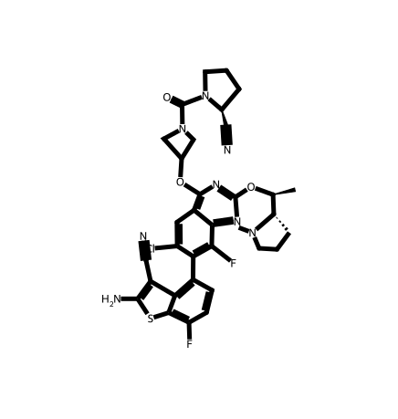 C[C@H](Oc1nc(OC2CN(C(=O)N3CCC[C@H]3C#N)C2)c2cc(Cl)c(-c3ccc(F)c4sc(N)c(C#N)c34)c(F)c2n1)[C@@H]1CCCN1C